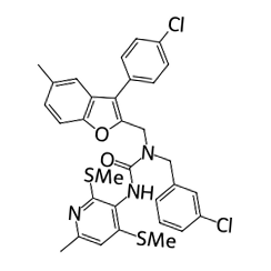 CSc1cc(C)nc(SC)c1NC(=O)N(Cc1cccc(Cl)c1)Cc1oc2ccc(C)cc2c1-c1ccc(Cl)cc1